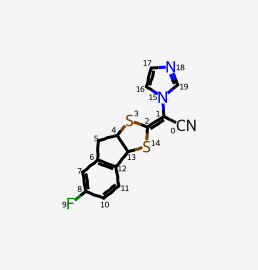 N#CC(=C1SC2Cc3cc(F)ccc3C2S1)n1ccnc1